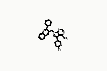 Nc1ncnc2c1c(-c1ccc(O)nc1)nn2Cc1cc2ccccc2nc1-c1ccccc1